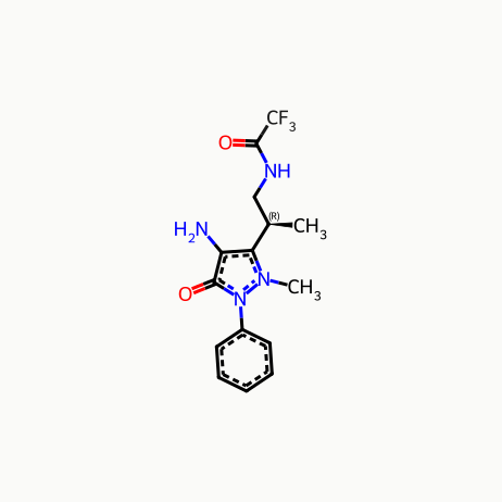 C[C@H](CNC(=O)C(F)(F)F)c1c(N)c(=O)n(-c2ccccc2)n1C